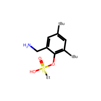 CC[SH](=O)(O)Oc1c(CN)cc(C(C)(C)C)cc1C(C)(C)C